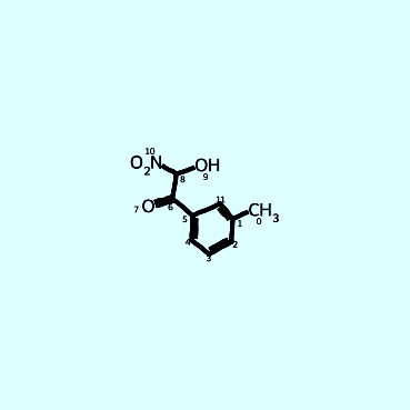 Cc1cccc(C(=O)C(O)[N+](=O)[O-])c1